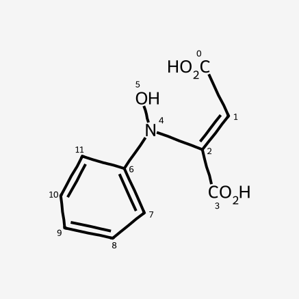 O=C(O)/C=C(/C(=O)O)N(O)c1ccccc1